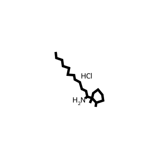 CCCCCCCCCCCC(N)C1(C)CCCCC1C.Cl